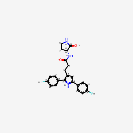 O=C(CCc1cc(-c2ccc(F)cc2)[nH]c1-c1ccc(F)cc1)N[C@@H]1CCNC1=O